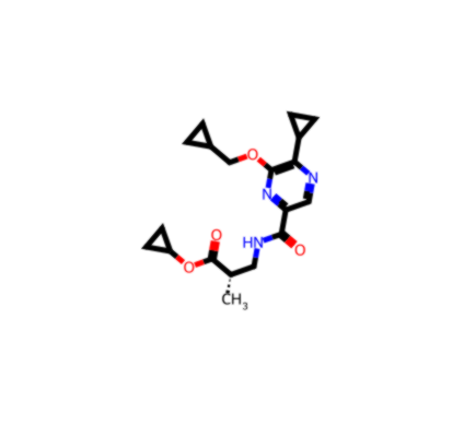 C[C@@H](CNC(=O)c1cnc(C2CC2)c(OCC2CC2)n1)C(=O)OC1CC1